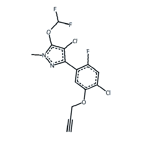 C#CCOc1cc(-c2nn(C)c(OC(F)F)c2Cl)c(F)cc1Cl